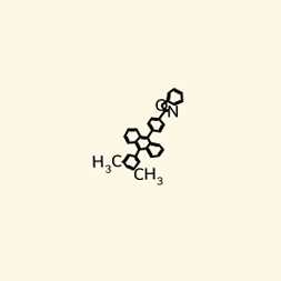 Cc1cc(C)cc(-c2c3ccccc3c(-c3ccc(-c4nc5ccccc5o4)cc3)c3ccccc23)c1